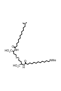 CNCCCCCCCCCCCC(=O)NC(CCSSCCC(NC(=O)CCCCCCCCCCCN(C)C)C(=O)O)C(=O)O